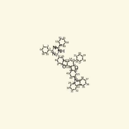 c1ccc(C2=NC(c3ccc4oc5c(cc(-c6ccccc6)c6oc7cc(-n8c9ccccc9c9ccccc98)ccc7c65)c4c3)NC(c3ccccc3)=N2)cc1